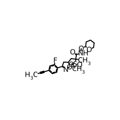 CC#Cc1ccc(C2=NOC(CC(C)(C(=O)NOC3CCCCO3)S(C)(=O)=O)C2)c(F)c1